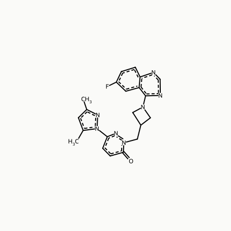 Cc1cc(C)n(-c2ccc(=O)n(CC3CN(c4ncnc5ccc(F)cc45)C3)n2)n1